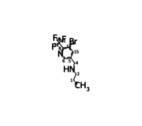 CCCNCc1cnc(C(F)(F)F)c(Br)c1